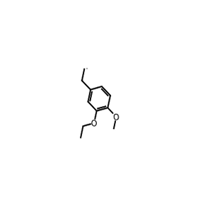 [CH2]Cc1ccc(OC)c(OCC)c1